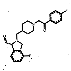 O=CC1c2cccc(F)c2CN1CC1CCN(CC(=O)c2ccc(F)cc2)CC1